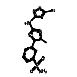 CCc1nnc(Nc2nc(C)c(-c3cccc(S(N)(=O)=O)c3)s2)s1